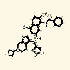 C[C@@H](Nc1c(C#N)cnc2c(Cl)cc(N[C@H](c3c[nH]nn3)c3csc4c3CCN(C3COC3)C4)cc12)c1ccccc1